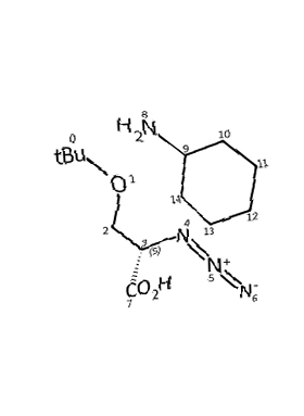 CC(C)(C)OC[C@H](N=[N+]=[N-])C(=O)O.NC1CCCCC1